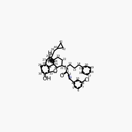 O=C(/C=C/c1cccc(Cl)c1)N(CCCc1ccccc1)C1CC[C@@]2(O)[C@H]3Cc4ccc(O)c5c4[C@@]2(CCN3CC2CC2)C1O5